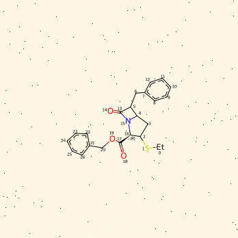 CCSC1CC2C(Cc3ccccc3)C(=O)N2[C@@H]1C(=O)OCc1ccccc1